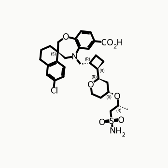 C[C@H](CS(N)(=O)=O)O[C@@H]1CCO[C@@H]([C@@H]2CC[C@H]2CN2C[C@@]3(CCCc4cc(Cl)ccc43)COc3ccc(C(=O)O)cc32)C1